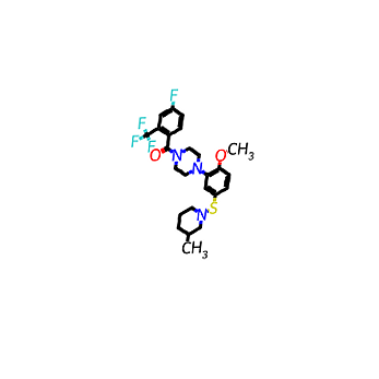 COc1ccc(SN2CCCC(C)C2)cc1N1CCN(C(=O)c2ccc(F)cc2C(F)(F)F)CC1